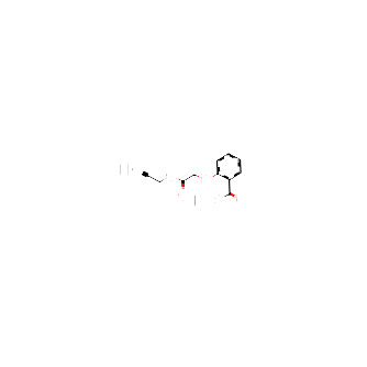 C#CCOC(=O)COc1ccccc1C(C)=O